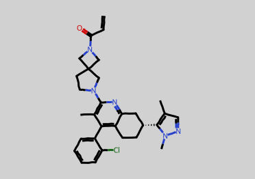 C=CC(=O)N1CC2(CCN(c3nc4c(c(-c5ccccc5Cl)c3C)CC[C@@H](c3c(C)cnn3C)C4)C2)C1